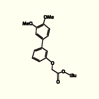 COc1ccc(-c2cccc(OCC(=O)OC(C)(C)C)c2)cc1OC